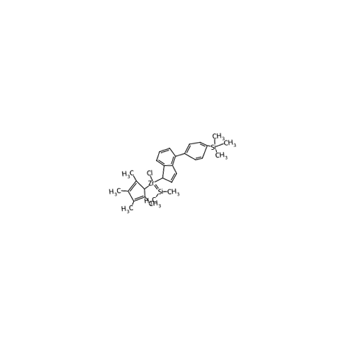 CC1=C(C)[CH]([Zr]([Cl])([CH]2C=Cc3c(-c4ccc([Si](C)(C)C)cc4)cccc32)=[Si](C)C)C(C)=C1C